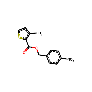 Cc1ccsc1C(=O)OCc1ccc([N+](=O)[O-])cc1